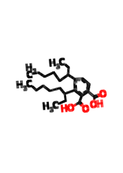 CCCCCC(CC)c1ccc(C(=O)O)c(C(=O)O)c1C(CC)CCCCC